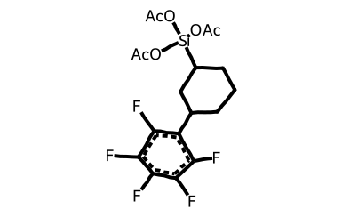 CC(=O)O[Si](OC(C)=O)(OC(C)=O)C1CCCC(c2c(F)c(F)c(F)c(F)c2F)C1